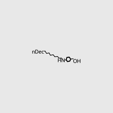 CCCCCCCCCCCCCCCCCCCNc1ccc(CO)cc1